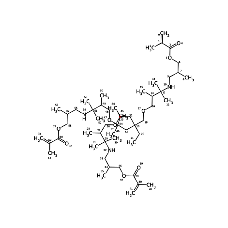 C=C(C)C(=O)OCC(C)CNC(C)(C)C(C)COCC(CC)(CC(C)OCC(C)C(C)(C)NCC(C)COC(=O)C(=C)C)CC(C)(C)OCC(C)C(C)(C)NCC(C)COC(=O)C(=C)C